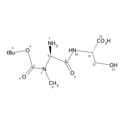 CN(C(=O)OC(C)(C)C)[C@@H](N)C(=O)N[C@@H](CO)C(=O)O